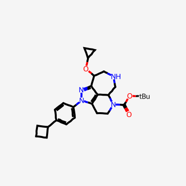 CC(C)(C)OC(=O)N1CCc2c3c(nn2-c2ccc(C4CCC4)cc2)C(OC2CC2)CNCC31